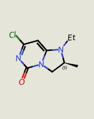 CCN1c2cc(Cl)nc(=O)n2C[C@@H]1C